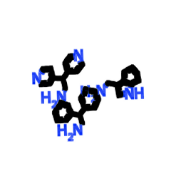 NCC(c1ccccc1)c1ccccc1.NCC(c1ccncc1)c1ccncc1.NCc1c[nH]c2ccccc12